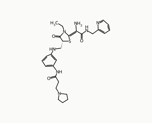 CCN1C(=O)[C@@H](CNc2cccc(NC(=O)CCN3CCCC3)c2)S/C1=C(/N)C(=O)NCc1ccccn1